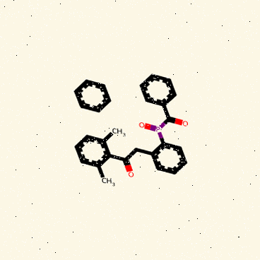 Cc1cccc(C)c1C(=O)Cc1ccccc1[P](=O)C(=O)c1ccccc1.c1ccccc1